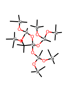 CC(C)(C)[Si](O[Si](C)(O[Si](C)(C)C)O[Si](C)(C)C)(O[Si](C)(O[Si](C)(C)C)O[Si](C)(C)C)O[Si](C)(O[Si](C)(C)C)O[Si](C)(C)C